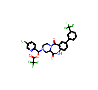 O=C1Nc2ccc(-c3cccc(C(F)(F)F)c3)cc2C(=O)N2CCN(C(OC(=O)C(F)(F)F)c3ccc(Cl)cn3)CC12